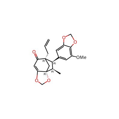 C=CC[C@]12C[C@@]3(OCOC3=CC1=O)[C@H](C)[C@@H]2c1cc(OC)c2c(c1)OCO2